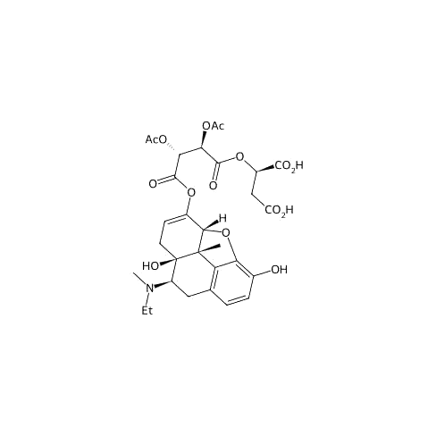 CCN(C)[C@@H]1Cc2ccc(O)c3c2[C@@]2(C)[C@@H](O3)C(OC(=O)[C@H](OC(C)=O)[C@@H](OC(C)=O)C(=O)O[C@H](CC(=O)O)C(=O)O)=CC[C@@]12O